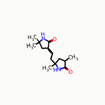 CC1CC(C)(CC=C2CC(C)(C)NC2=O)NC1=O